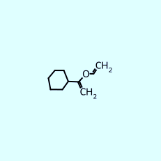 C=COC(=C)C1CCCCC1